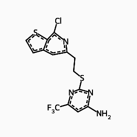 Nc1cc(C(F)(F)F)nc(SCCc2cc3ccsc3c(Cl)n2)n1